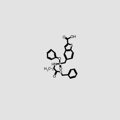 C[C@H](NP(=O)(Cc1ccc2sc(C(=O)O)cc2c1)Oc1ccccc1)C(=O)OCc1ccccc1